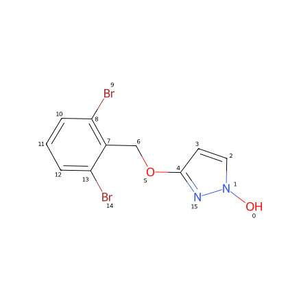 On1ccc(OCc2c(Br)cccc2Br)n1